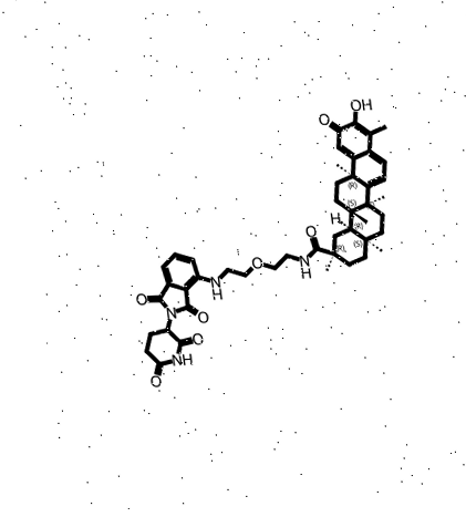 CC1=C(O)C(=O)C=C2C1=CC=C1[C@@]2(C)CC[C@@]2(C)[C@@H]3C[C@](C)(C(=O)NCCOCCNc4cccc5c4C(=O)N(C4CCC(=O)NC4=O)C5=O)CC[C@]3(C)CC[C@]12C